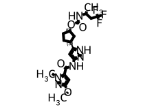 COc1cc(C(=O)Nc2cc([C@H]3CC[C@@H](OC(=O)NC(C)CC(F)(F)F)C3)[nH]n2)n(C)n1